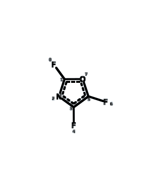 Fc1nc(F)c(F)o1